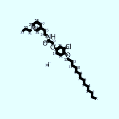 CCCCCCCCCCCCCCOc1ccc(OCC(=O)NCCc2ccc[n+](CCC)c2)cc1Cl.[I-]